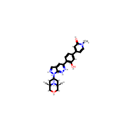 Cn1ccc(-c2ccc(-c3cc4cnn(C5C[C@H]6COC[C@@H](C5)N6)c4nn3)c(O)c2)cc1=O